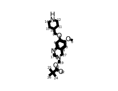 COc1cc2c(cc1OCC1CCNCC1)N=CN(COC(=O)C(C)(C)C)C2